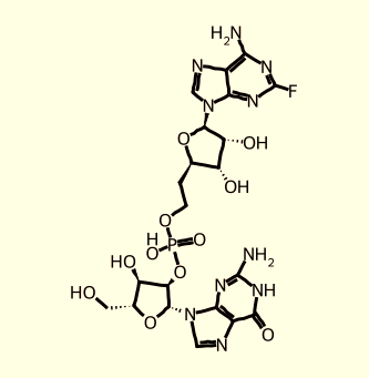 Nc1nc2c(ncn2[C@@H]2O[C@H](CO)[C@@H](O)[C@H]2OP(=O)(O)OCC[C@H]2O[C@@H](n3cnc4c(N)nc(F)nc43)[C@H](O)[C@@H]2O)c(=O)[nH]1